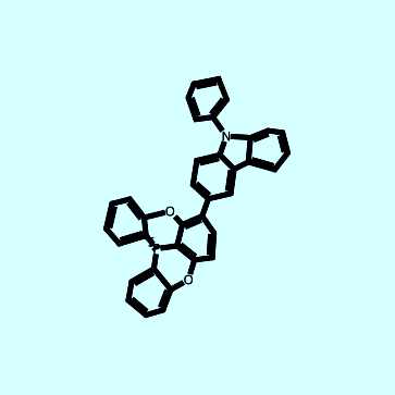 S=P12c3ccccc3Oc3ccc(-c4ccc5c(c4)c4ccccc4n5-c4ccccc4)c(c31)Oc1ccccc12